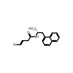 CCC=CCC(=O)N[C@@H](Cc1cccc2ccccc12)C(=O)O